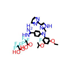 CCOc1cc(OC(C)C)c(F)c(N(Cc2nc(-c3ncccn3)c[nH]2)c2ccc(C(=N)N)cc2)c1.O=C(O)C(F)(F)F.O=C(O)C(F)(F)F